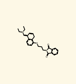 CCN(C=C1C=CCc2c(OCCCN3C(=O)c4ccccc4C3=O)cccc21)CC